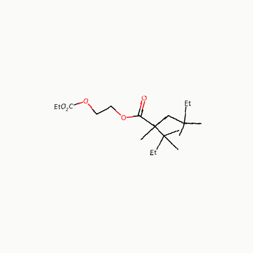 CCOC(=O)OCCOC(=O)C(C)(CC(C)(C)CC)C(C)(C)CC